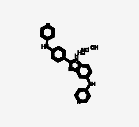 Cl.Cl.Cl.c1cc(Nc2ccc(-c3nc4cc(Nc5ccncc5)ccc4[nH]3)cc2)ccn1